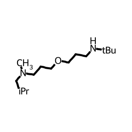 CC(C)CN(C)CCCOCCCNC(C)(C)C